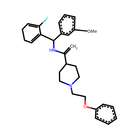 C=C(NC(C1=CCCC=C1F)c1cccc(OC)c1)C1CCN(CCOc2ccccc2)CC1